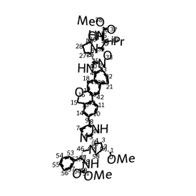 COC[C@H]1C[C@@H](c2ncc(-c3ccc4c(c3)COc3cc5c(ccc6nc([C@@H]7CC[C@H](C)N7C(=O)[C@@H](NC(=O)OC)C(C)C)[nH]c65)cc3-4)[nH]2)N(C[C@H](NC(=O)OC)c2ccccc2)C1